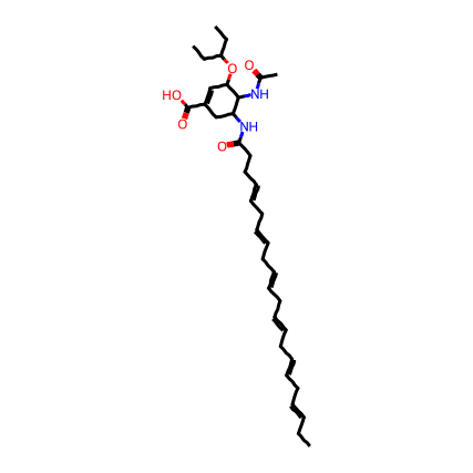 CCC=CCC=CCC=CCC=CCC=CCC=CCCC(=O)NC1CC(C(=O)O)=CC(OC(CC)CC)C1NC(C)=O